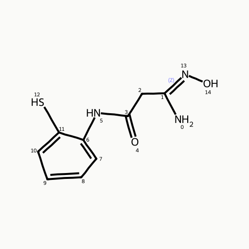 N/C(CC(=O)Nc1ccccc1S)=N\O